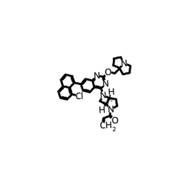 C=CC(=O)N1CC[C@@H]2[C@H]1CN2c1nc(OCC23CCCN2CCC3)nc2cc(-c3cccc4cccc(Cl)c34)ccc12